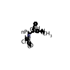 CCCC(/C=N/c1ncc(Cl)c(N2CCS(=O)(=O)CC2)n1)CCCN(C(=O)NCc1ccccc1)c1ccc(-c2cnn(C)c2)cc1